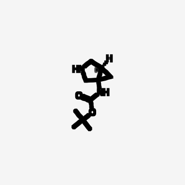 CC(C)(C)OC(=O)NC12CNC[C@H]1C2